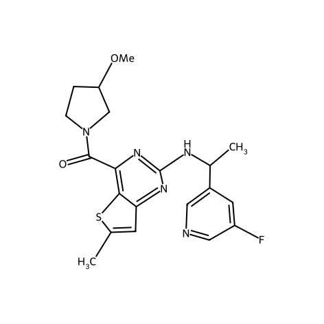 COC1CCN(C(=O)c2nc(NC(C)c3cncc(F)c3)nc3cc(C)sc23)C1